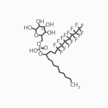 CCCCCCCCCC(CCC(F)(F)C(F)(F)C(F)(F)C(F)(F)C(F)(F)C(F)(F)C(F)(F)F)OP(=O)(O)OCC1OC(O)C(O)[C@@H](O)[C@@H]1O